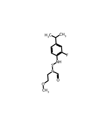 COCCN(C=O)SNc1ccc(C(C)C)cc1F